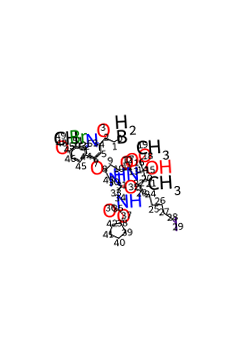 BCC(=O)c1cc(O[C@@H]2C[C@@H](C(=O)N[C@@](O)(C(=O)OC)C(C)/C=C\CCCCCI)N(C(=O)CNC(=O)OC3CCCC3)C2)c2ccc(OC)c(Br)c2n1